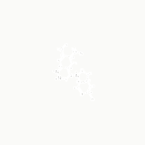 COc1cc2nncc(N3CCc4cc(C)ccc43)c2cc1OC